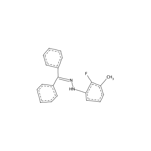 Cc1cccc(NN=C(c2ccccc2)c2ccccc2)c1F